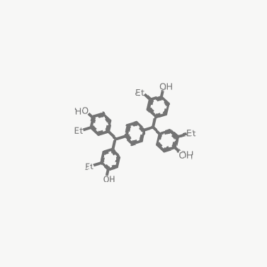 CCc1cc(C(c2ccc(C(c3ccc(O)c(CC)c3)c3ccc(O)c(CC)c3)cc2)c2ccc(O)c(CC)c2)ccc1O